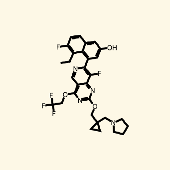 CCc1c(F)ccc2cc(O)cc(-c3ncc4c(OCC(F)(F)F)nc(OCC5(CN6CCCC6)CC5)nc4c3F)c12